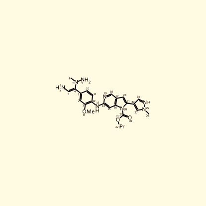 COc1cc(/C(=C/N)N(C)N)ccc1Nc1cc2c(cn1)cc(-c1cnn(C)c1)n2C(=O)OC(C)C